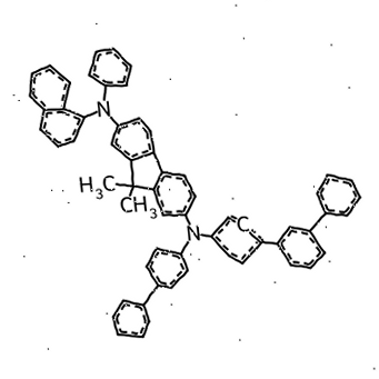 CC1(C)c2cc(N(c3ccc(-c4ccccc4)cc3)c3ccc(-c4cccc(-c5ccccc5)c4)cc3)ccc2-c2ccc(N(c3ccccc3)c3cccc4ccccc34)cc21